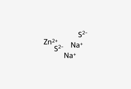 [Na+].[Na+].[S-2].[S-2].[Zn+2]